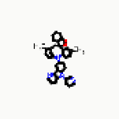 Cc1ccc2c(c1)C1(CC3C=C(C=CC3C)N2C2=CCC3C(=C2)c2ncccc2N3c2cccnc2)C2=C(CCC=C2)c2ccccc21